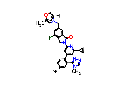 Cn1cnnc1-c1cc(C#N)ccc1-c1cc(C2CC2)nc(N2Cc3c(F)cc(CN4C[C@]5(C)C[C@H]4CO5)cc3C2=O)c1